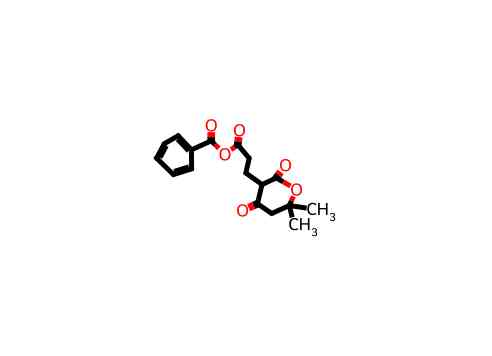 CC1(C)CC(=O)C(CCC(=O)OC(=O)c2ccccc2)C(=O)O1